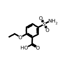 CCOc1ccc(S(N)(=O)=O)cc1C(=O)O